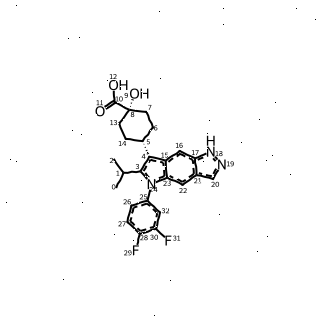 CC(C)c1c([C@H]2CC[C@](O)(C(=O)O)CC2)c2cc3[nH]ncc3cc2n1-c1ccc(F)c(F)c1